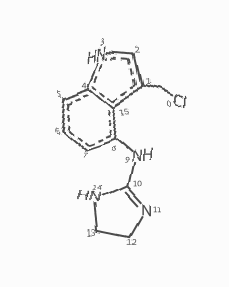 Clc1c[nH]c2cccc(NC3=NCCN3)c12